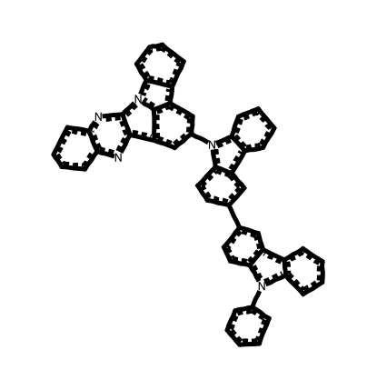 c1ccc(-n2c3ccccc3c3cc(-c4ccc5c(c4)c4ccccc4n5-c4cc5c6ccccc6n6c7nc8ccccc8nc7c(c4)c56)ccc32)cc1